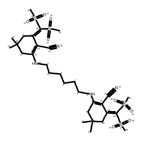 CC1(C)CC(NCCCCCCNC2=C(C#N)C(=C(S(C)(=O)=O)S(C)(=O)=O)CC(C)(C)C2)=C(C#N)C(=C(S(C)(=O)=O)S(C)(=O)=O)C1